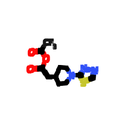 O=C(CC1CCN(c2nncs2)CC1)OC(=O)C(F)(F)F